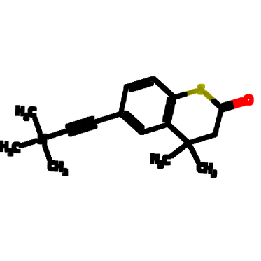 CC1(C)CC(=O)Sc2ccc(C#C[Si](C)(C)C)cc21